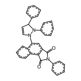 O=C1c2cc(N3C=CC(c4ccccc4)N3c3ccccc3)c3ccccc3c2C(=O)N1c1ccccc1